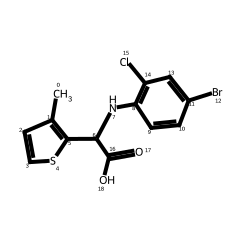 Cc1ccsc1C(Nc1ccc(Br)cc1Cl)C(=O)O